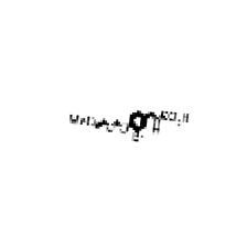 COCCOCOc1ccc(CNC(=O)O)cc1Br